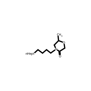 CCCCCCCCCCCN1CC(C)OCC1=O